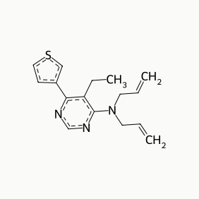 C=CCN(CC=C)c1ncnc(-c2ccsc2)c1CC